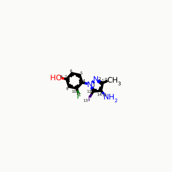 Cc1nn(-c2ccc(O)cc2F)c(I)c1N